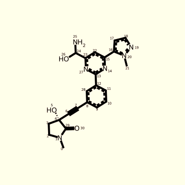 CN1CC[C@@](O)(C#Cc2cccc(-c3nc(-c4ccnn4C)cc(C(N)O)n3)c2)C1=O